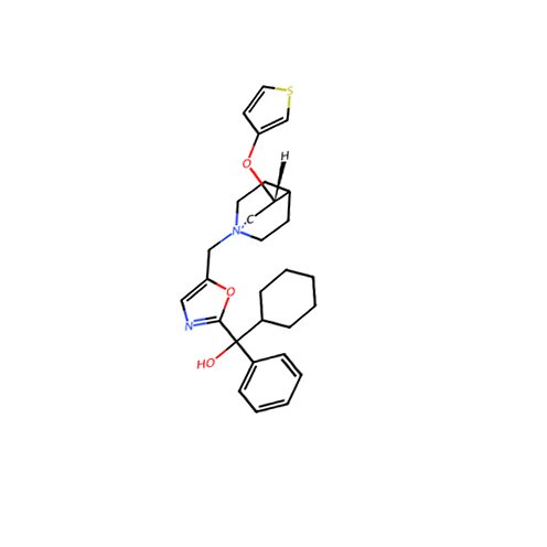 OC(c1ccccc1)(c1ncc(C[N+]23CCC(CC2)[C@@H](Oc2ccsc2)C3)o1)C1CCCCC1